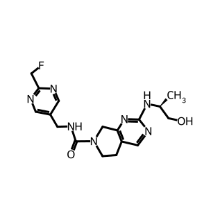 C[C@@H](CO)Nc1ncc2c(n1)CN(C(=O)NCc1cnc(CF)nc1)CC2